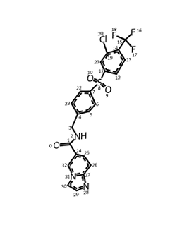 O=C(NCc1ccc(S(=O)(=O)c2ccc(C(F)(F)F)c(Cl)c2)cc1)c1ccc2nccn2c1